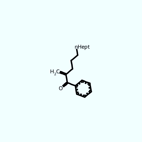 C=C(CCCCCCCCCC)C(=O)c1ccccc1